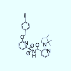 C#Cc1ccc(COc2cccc(S(=O)(=O)NC(=O)c3cccnc3N3CCC(C)C3(C)C)n2)cc1